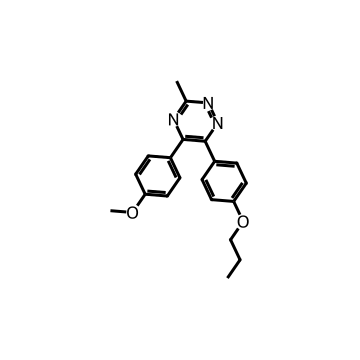 CCCOc1ccc(-c2nnc(C)nc2-c2ccc(OC)cc2)cc1